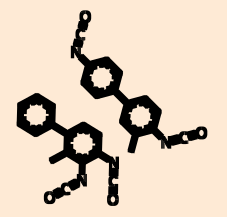 Cc1c(-c2ccccc2)ccc(N=C=O)c1N=C=O.Cc1cc(-c2ccc(N=C=O)cc2)ccc1N=C=O